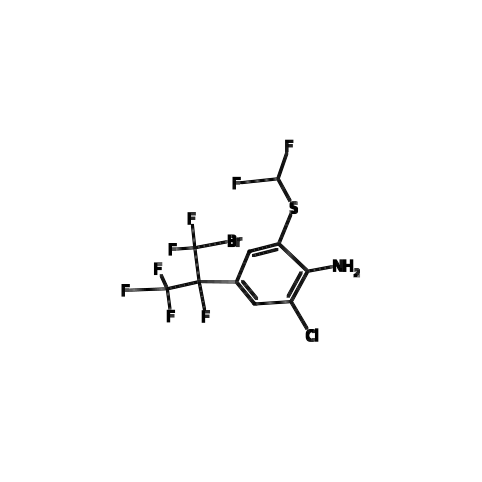 Nc1c(Cl)cc(C(F)(C(F)(F)F)C(F)(F)Br)cc1SC(F)F